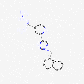 NN/N=C(\N)c1ccnc(-c2cn(Cc3cccc4ccccc34)cn2)c1